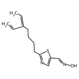 C=C/C(=C\C)CCCCc1ncc(/C=N/O)s1